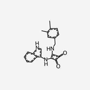 Cc1ccc(CNc2c(Nc3c[nH]c4ccccc34)c(=O)c2=O)cc1C